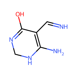 N=CC1=C(N)NCN=C1O